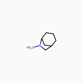 O=C(O)N1CC2CCCC1C2